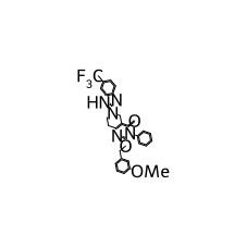 COc1cccc(COc2nc3c(c(=O)n2-c2ccccc2)CN(c2nc4ccc(C(F)(F)F)cc4[nH]2)CC3)c1